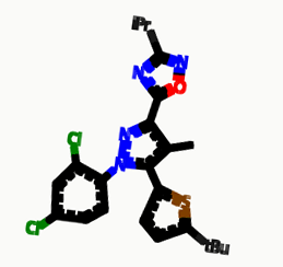 Cc1c(-c2nc(C(C)C)no2)nn(-c2ccc(Cl)cc2Cl)c1-c1ccc(C(C)(C)C)s1